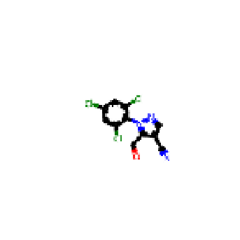 N#Cc1cnn(-c2c(Cl)cc(Cl)cc2Cl)c1C=O